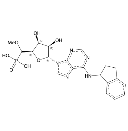 COC([C@@H]1O[C@@H](n2cnc3c(NC4CCc5ccccc54)ncnc32)[C@H](O)[C@@H]1O)P(=O)(O)O